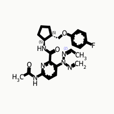 C=NN(/N=C\C)c1ccc(NC(C)=O)nc1C(=O)N[C@H]1CCC[C@@H]1COc1ccc(F)cc1